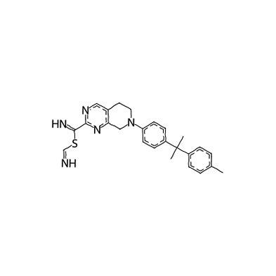 Cc1ccc(C(C)(C)c2ccc(N3CCc4cnc(C(=N)SC=N)nc4C3)cc2)cc1